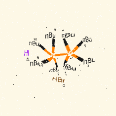 Br.CCCCP(CCCC)(CCCC)(CCCC)P(CCCC)(CCCC)(CCCC)CCCC.I